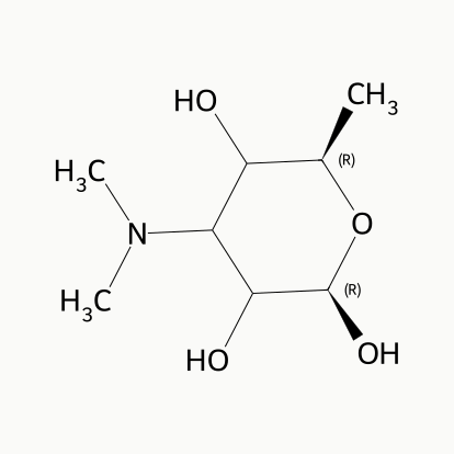 C[C@H]1O[C@@H](O)C(O)C(N(C)C)C1O